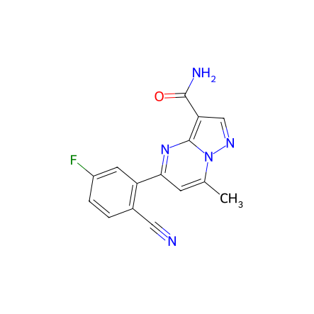 Cc1cc(-c2cc(F)ccc2C#N)nc2c(C(N)=O)cnn12